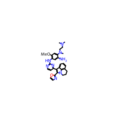 COc1cc(N(C)CCN(C)C)c(N)cc1Nc1nccc(-c2c(-c3ncco3)n3c4c(cccc24)CCC3)n1